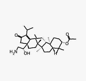 CCC[C@@H]1[C@@]2(C)CC[C@H](OC(C)=O)C(C)(C)[C@@H]2CC[C@@]1(C)[C@]1(C)CC[C@@]2([C@H](O)CN)CC(=O)C(C(C)C)=C2C1